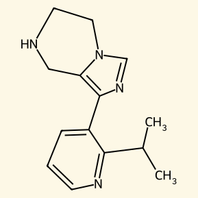 CC(C)c1ncccc1-c1ncn2c1CNCC2